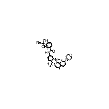 Cc1ccc(NC(=O)c2cccc(C(C)(C)C#N)c2)cc1Nc1ncnc2ccc(N3CCOCC3)nc12